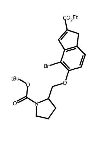 CCOC(=O)C1=Cc2c(ccc(OCC3CCCN3C(=O)OC(C)(C)C)c2Br)C1